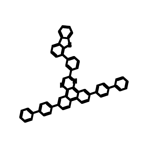 c1ccc(-c2ccc(-c3ccc4c5ccc(-c6ccc(-c7ccccc7)cc6)cc5c5nc(-c6cccc(-c7cccc8c7sc7ccccc78)c6)cnc5c4c3)cc2)cc1